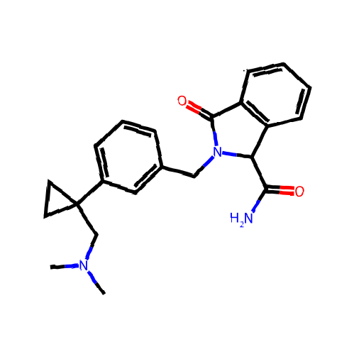 CN(C)CC1(c2cccc(CN3C(=O)c4[c]cccc4C3C(N)=O)c2)CC1